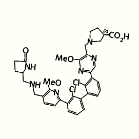 COc1nc(-c2cccc(-c3cccc(-c4cnc(CN5CC[C@@H](C(=O)O)C5)c(OC)n4)c3Cl)c2Cl)ccc1CNCC1CCC(=O)N1